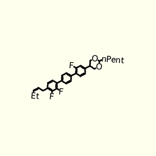 CC/C=C\Cc1ccc(-c2ccc(-c3ccc(C4COC(CCCCC)OC4)cc3F)cc2)c(F)c1F